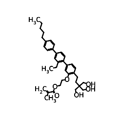 C=C(C)C(=O)OCCOc1cc(-c2ccc(-c3ccc(CCCCC)cc3)cc2CC)ccc1CCC(CO)(CO)CO